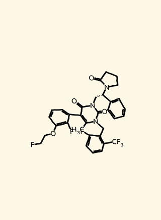 Cc1c(-c2cccc(OCCF)c2F)c(=O)n(C[C@@H](c2ccccc2)N2CCCC2=O)c(=O)n1Cc1c(F)cccc1C(F)(F)F